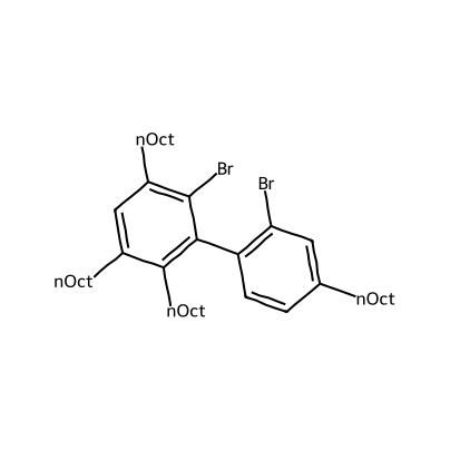 CCCCCCCCc1ccc(-c2c(Br)c(CCCCCCCC)cc(CCCCCCCC)c2CCCCCCCC)c(Br)c1